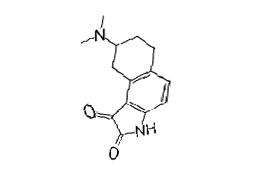 CN(C)C1CCc2ccc3c(c2C1)C(=O)C(=O)N3